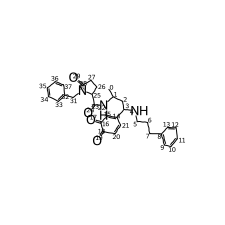 CC(CC(NCCCc1ccccc1)C1=CC(=O)C(=O)C=C1)NC(=O)C1CCC(=O)N1Cc1ccccc1